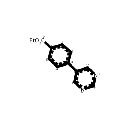 CCOC(=O)c1ccc(-c2cncnc2)cc1